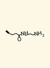 C#CCCC(=O)NCCCN